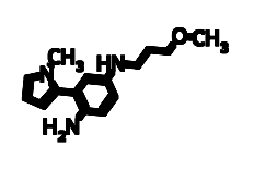 COCCCNc1ccc(N)c(-c2cccn2C)c1